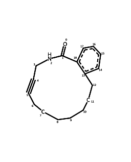 O=C1NCC#CCCCCCCCc2ccccc21